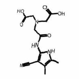 Cc1[nH]c(NC(=O)CN(CC(=O)O)CC(=O)O)c(C#N)c1C